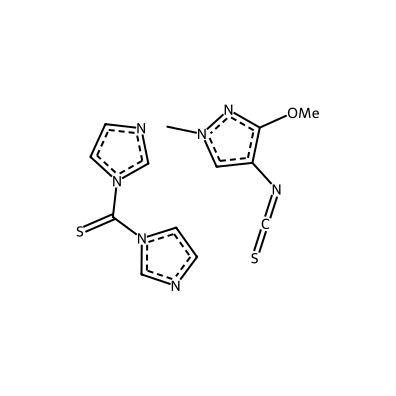 COc1nn(C)cc1N=C=S.S=C(n1ccnc1)n1ccnc1